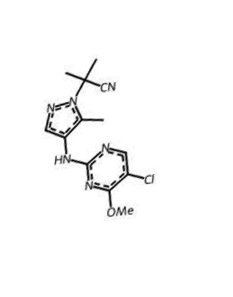 COc1nc(Nc2cnn(C(C)(C)C#N)c2C)ncc1Cl